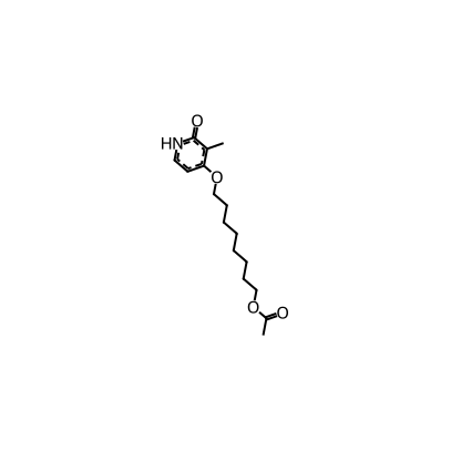 CC(=O)OCCCCCCCCOc1cc[nH]c(=O)c1C